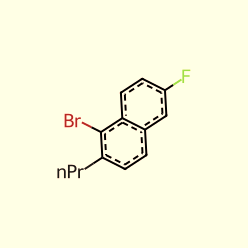 CCCc1ccc2cc(F)ccc2c1Br